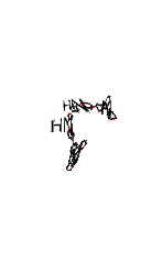 c1ccc(-n2c3ccccc3c3cc(-c4ccc(Nc5ccc(-c6ccc(Nc7ccc(-c8ccc9c(c8)c8ccccc8n9-c8ccccc8)cc7)cc6)cc5)cc4)ccc32)cc1